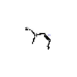 CN(/C=C\C(C)(C)C)C(C)(C)C